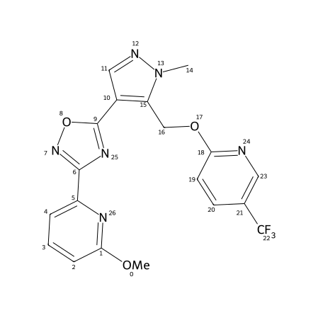 COc1cccc(-c2noc(-c3cnn(C)c3COc3ccc(C(F)(F)F)cn3)n2)n1